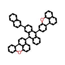 c1ccc2c(c1)Oc1cccc3c(-c4c5ccccc5c(-c5ccc6c(c5)Oc5cccc7cccc-6c57)c5ccc(-c6ccc7ccccc7c6)cc45)ccc-2c13